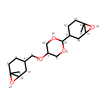 CC12CCC(COC3COC(C4CCC5(C)OC5C4)OC3)CC1O2